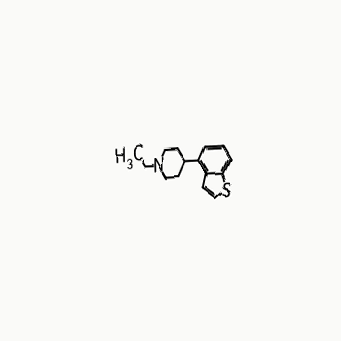 CCN1CCC(c2cccc3sccc23)CC1